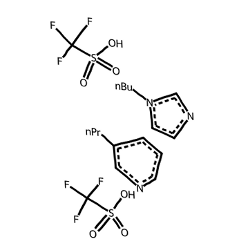 CCCCn1ccnc1.CCCc1cccnc1.O=S(=O)(O)C(F)(F)F.O=S(=O)(O)C(F)(F)F